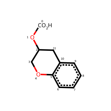 O=C(O)OC1COc2ccccc2C1